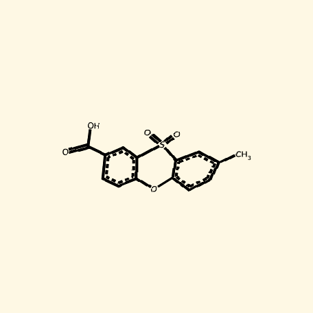 Cc1ccc2c(c1)S(=O)(=O)c1cc(C(=O)O)ccc1O2